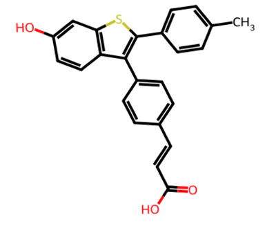 Cc1ccc(-c2sc3cc(O)ccc3c2-c2ccc(/C=C/C(=O)O)cc2)cc1